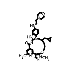 Cc1cc2cc(n1)-c1cnn(C)c1OCCCC(CC1CC1)CN1/C(=N/C2=O)Nc2cc(NCCN3CCOCC3)ccc21